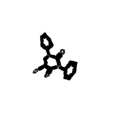 O=C1CN(c2ccccc2)C(=O)N(c2ccccc2)C1=O